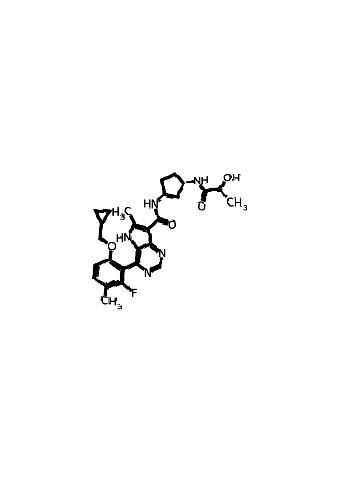 Cc1ccc(OCC2CC2)c(-c2ncnc3c(C(=O)N[C@H]4CC[C@@H](NC(=O)[C@H](C)O)C4)c(C)[nH]c23)c1F